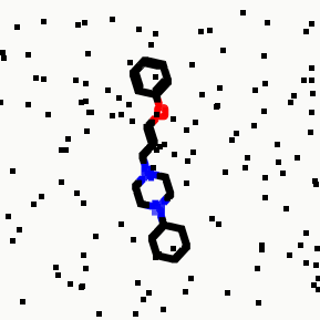 C(=COc1ccccc1)CN1CCN(C2CCCCC2)CC1